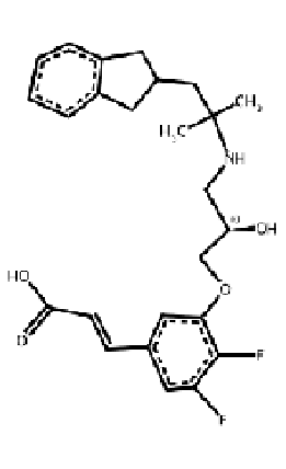 CC(C)(CC1Cc2ccccc2C1)NC[C@@H](O)COc1cc(C=CC(=O)O)cc(F)c1F